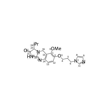 COc1c(OCCCn2ccnc2)ccc2c1CN1C(=N2)NC(=O)C1C(C)C